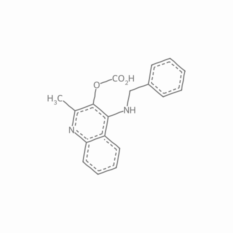 Cc1nc2ccccc2c(NCc2ccccc2)c1OC(=O)O